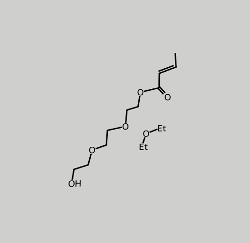 C/C=C/C(=O)OCCOCCOCCO.CCOCC